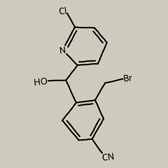 N#Cc1ccc(C(O)c2cccc(Cl)n2)c(CBr)c1